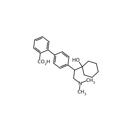 CN(C)CC(c1ccc(-c2ccccc2C(=O)O)cc1)C1(O)CCCCC1